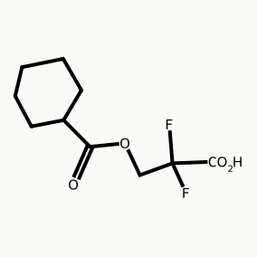 O=C(OCC(F)(F)C(=O)O)C1CCCCC1